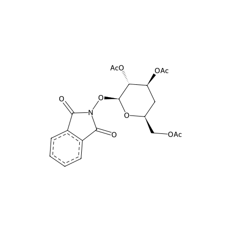 CC(=O)OC[C@@H]1C[C@H](OC(C)=O)[C@@H](OC(C)=O)[C@H](ON2C(=O)c3ccccc3C2=O)O1